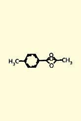 Cc1ccc(C23OC(C)(O2)O3)cc1